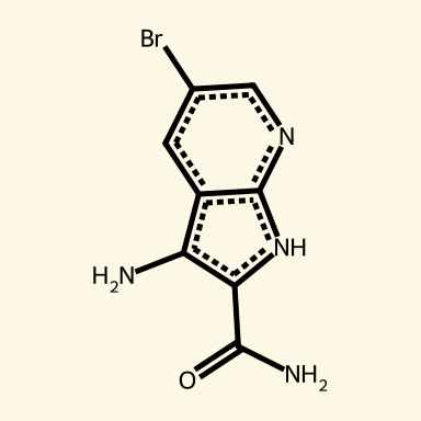 NC(=O)c1[nH]c2ncc(Br)cc2c1N